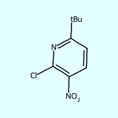 CC(C)(C)c1ccc([N+](=O)[O-])c(Cl)n1